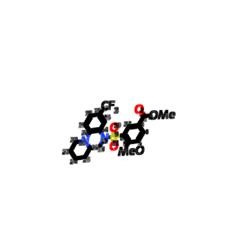 COC(=O)c1ccc(OC)c(S(=O)(=O)N(C)c2cc(C(F)(F)F)ccc2N2CCCCC2)c1